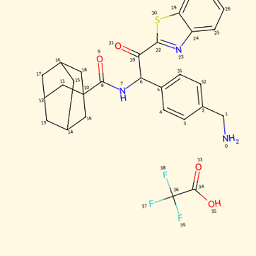 NCc1ccc(C(NC(=O)C23CC4CC(CC(C4)C2)C3)C(=O)c2nc3ccccc3s2)cc1.O=C(O)C(F)(F)F